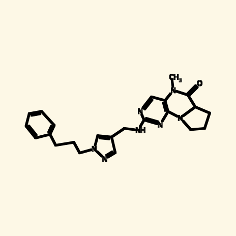 CN1C(=O)C2CCCN2c2nc(NCc3cnn(CCCc4ccccc4)c3)ncc21